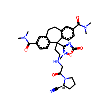 CN(C)C(=O)c1ccc2c(c1)CCc1cc(C(=O)N(C)C)ccc1C2(CCNCC(=O)N1CCC[C@H]1C#N)c1nc(=O)on1C